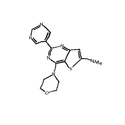 CNc1cc2nc(-c3cncnc3)nc(N3CCOCC3)c2s1